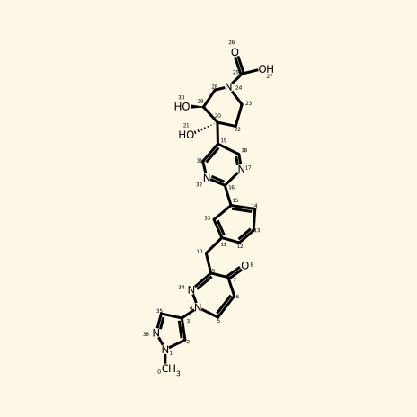 Cn1cc(-n2ccc(=O)c(Cc3cccc(-c4ncc([C@]5(O)CCN(C(=O)O)C[C@@H]5O)cn4)c3)n2)cn1